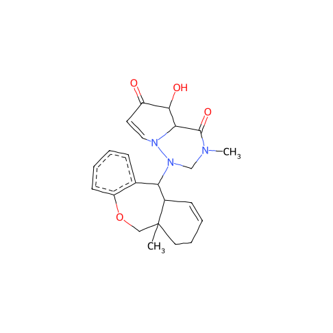 CN1CN(C2c3ccccc3OCC3(C)CCC=CC23)N2C=CC(=O)C(O)C2C1=O